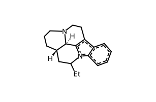 CCC1C[C@@H]2CCCN3CCc4c(n1c1ccccc41)[C@@H]23